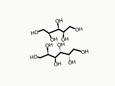 OC[C@@H](O)[C@H](O)[C@@H](O)CO.OC[C@@H](O)[C@H](O)[C@H](O)[C@@H](O)CO